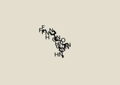 CCN[C@H]1CC(=O)N(c2nn(C)cc2NC(=O)c2coc(-c3ccnc(NCC(F)(F)F)c3)n2)C1